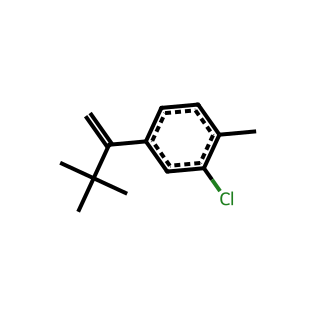 C=C(c1ccc(C)c(Cl)c1)C(C)(C)C